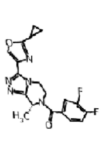 C[C@@H]1c2nnc(-c3coc(C4CC4)n3)n2CCN1C(=O)c1ccc(F)c(F)c1